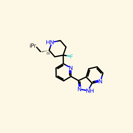 CC(C)C[C@H]1CC(F)(c2cccc(-c3n[nH]c4ncccc34)n2)CCN1